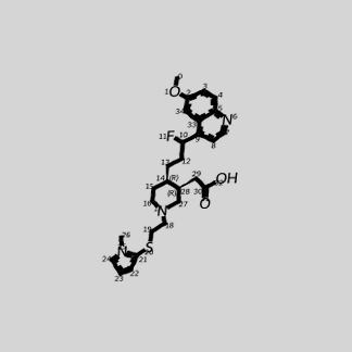 COc1ccc2nccc(C(F)CC[C@@H]3CCN(CCSc4cccn4C)C[C@@H]3CC(=O)O)c2c1